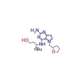 CCCC[C@@H](CCO)Nc1nc(N)nc2ccn(CC3CCCO3)c12